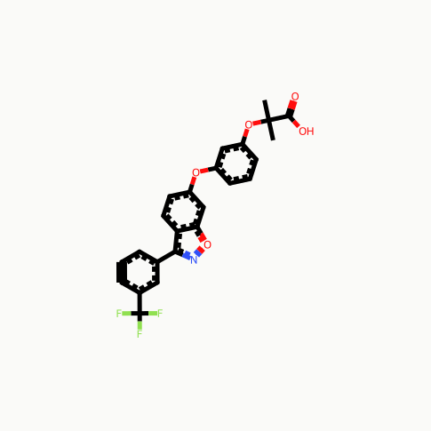 CC(C)(Oc1cccc(Oc2ccc3c(-c4cc#cc(C(F)(F)F)c4)noc3c2)c1)C(=O)O